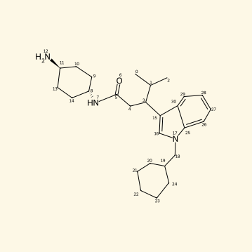 CC(C)C(CC(=O)N[C@H]1CC[C@H](N)CC1)c1cn(CC2CCCCC2)c2ccccc12